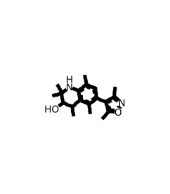 Cc1cc(-c2c(C)noc2C)c(C)c2c1NC(C)(C)C(O)C2C